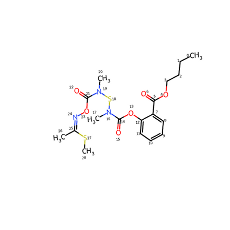 CCCCOC(=O)c1ccccc1OC(=O)N(C)SN(C)C(=O)ON=C(C)SC